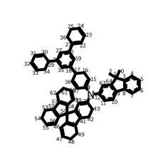 CC1(C)c2ccccc2-c2ccc(N(C3=CCC(c4cc(C5=CC=CCC5)cc(C5C=CC=CC5)c4)C=C3)C3=CC4=C(CC3)C3=C(C=CCC3)C43C4=C(CCC=C4)C4=C3C=CCC4)cc21